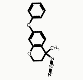 CC1(N=[N+]=[N-])CCOc2cc(Oc3ccccc3)ccc21